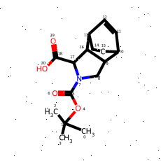 CC(C)(C)OC(=O)N1CC2C3C=CC(CC3)C2C1C(=O)O